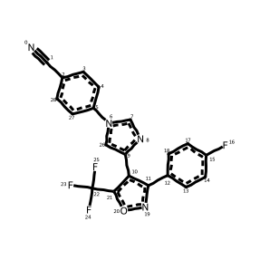 N#Cc1ccc(-n2cnc(-c3c(-c4ccc(F)cc4)noc3C(F)(F)F)c2)cc1